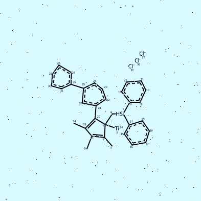 CC1=C(C)[C]([Ti+3])(C[SiH](c2ccccc2)c2ccccc2)C(c2cccc(-c3ccccc3)c2)=C1C.[Cl-].[Cl-].[Cl-]